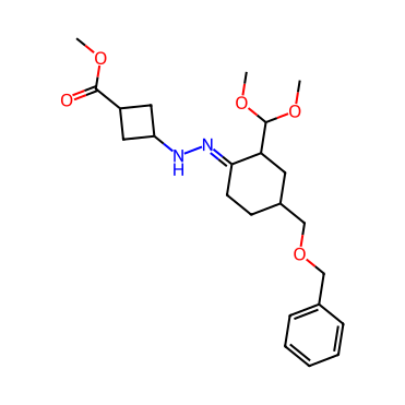 COC(=O)C1CC(NN=C2CCC(COCc3ccccc3)CC2C(OC)OC)C1